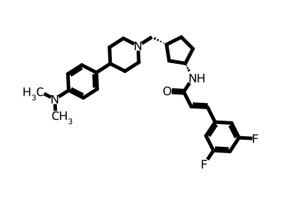 CN(C)c1ccc(C2CCN(C[C@@H]3CC[C@H](NC(=O)/C=C/c4cc(F)cc(F)c4)C3)CC2)cc1